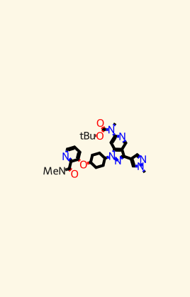 CNC(=O)c1ncccc1OC1CCC(n2nc(-c3cnn(C)c3)c3cnc(N(C)C(=O)OC(C)(C)C)cc32)CC1